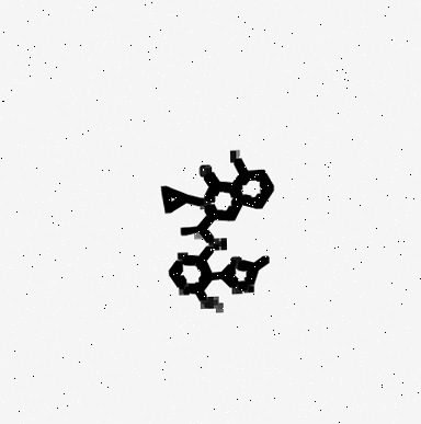 Cc1nnc(-c2c(N)ncnc2N[C@@H](C)c2cc3cccc(F)c3c(=O)n2C2CC2)o1